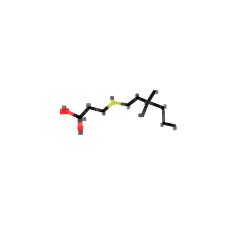 CCCC(C)(C)CCSCCC(=O)O